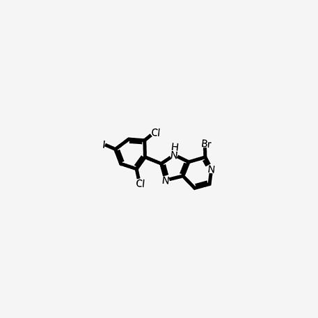 Clc1cc(I)cc(Cl)c1-c1nc2ccnc(Br)c2[nH]1